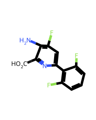 Nc1c(F)cc(-c2c(F)cccc2F)nc1C(=O)O